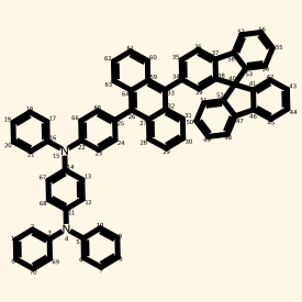 c1ccc(N(c2ccccc2)c2ccc(N(c3ccccc3)c3ccc(-c4c5ccccc5c(-c5ccc6c(c5)C5(c7ccccc7-c7ccccc75)c5ccccc5-6)c5ccccc45)cc3)cc2)cc1